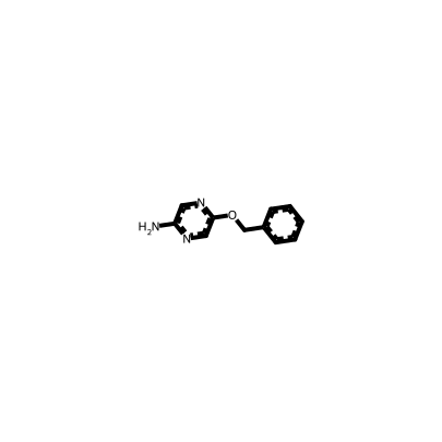 Nc1cnc(OCc2ccccc2)cn1